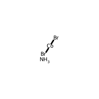 N.[Br][Co][Br]